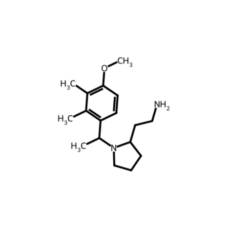 COc1ccc(C(C)N2CCCC2CCN)c(C)c1C